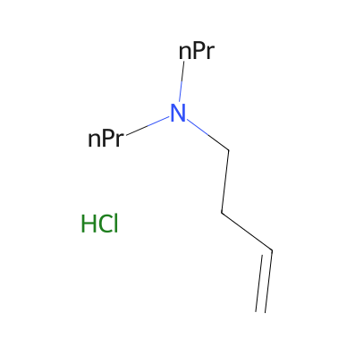 C=CCCN(CCC)CCC.Cl